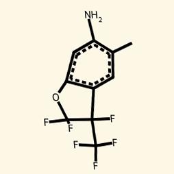 Cc1cc2c(cc1N)OC(F)(F)C2(F)C(F)(F)F